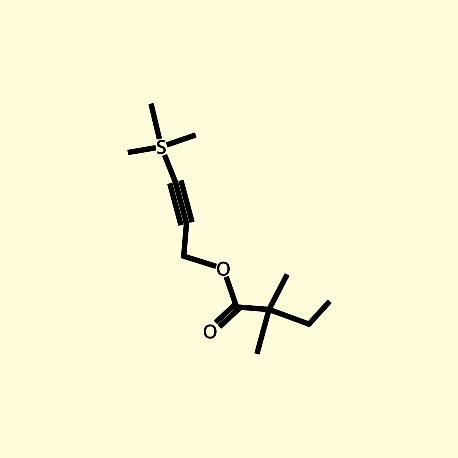 CCC(C)(C)C(=O)OCC#CS(C)(C)C